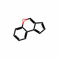 c1cc2coc3ccccc3c-2c1